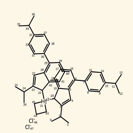 CC(C)C1=Cc2c(-c3ccc(C(C)C)cc3)cccc2[CH]1[Hf+2]1([CH]2C(C(C)C)=Cc3c(-c4ccc(C(C)C)cc4)cccc32)[CH2]C[CH2]1.[Cl-].[Cl-]